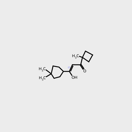 CC1(C)CCC(/C(O)=C/C(=O)C2(C)CCC2)CC1